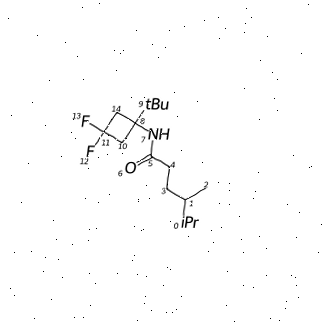 CC(C)C(C)CCC(=O)NC1(C(C)(C)C)CC(F)(F)C1